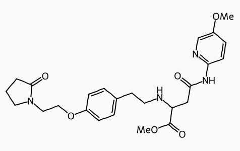 COC(=O)C(CC(=O)Nc1ccc(OC)cn1)NCCc1ccc(OCCN2CCCC2=O)cc1